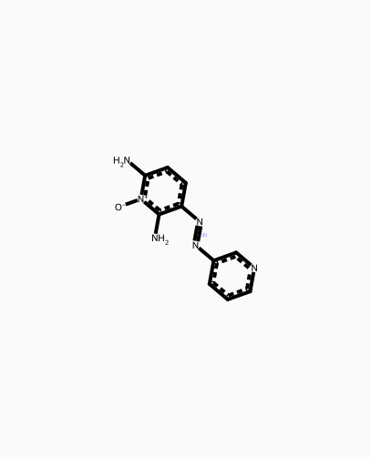 Nc1ccc(/N=N/c2cccnc2)c(N)[n+]1[O-]